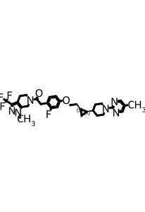 Cc1cnc(N2CCC([C@H]3C[C@H]3CCOc3ccc(CC(=O)N4CCc5c(C(F)(F)F)nn(C)c5C4)c(F)c3)CC2)nc1